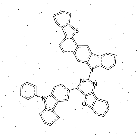 c1ccc(-n2c3ccccc3c3cc(-c4nc(-n5c6ccccc6c6cc7c(ccc8c9ccccc9sc78)cc65)nc5c4oc4ccccc45)ccc32)cc1